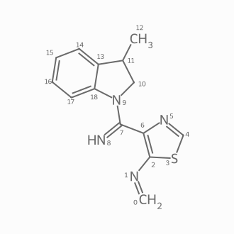 C=Nc1scnc1C(=N)N1CC(C)c2ccccc21